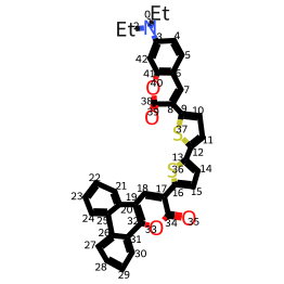 CCN(CC)c1ccc2cc(-c3ccc(-c4ccc(-c5cc6c7ccccc7c7ccccc7c6oc5=O)s4)s3)c(=O)oc2c1